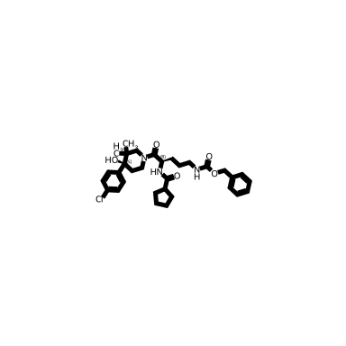 CC1(C)CN(C(=O)[C@@H](CCCNC(=O)OCc2ccccc2)NC(=O)C2CCCC2)CC[C@]1(O)c1ccc(Cl)cc1